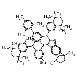 Cc1cc(C)c(-c2cc3c4c(c2)N(c2ccc5c(c2)C(C)(C)CCC5(C)C)c2sc5cc6c(cc5c2B4c2cc(C(C)(C)C)ccc2N3c2cc3c(cc2C)C(C)(C)CCC3(C)C)C2(C)CCC6(C)CC2)c(C)c1